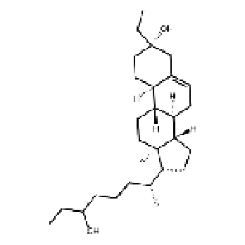 CCC(O)CCC[C@@H](C)[C@H]1CC[C@H]2[C@@H]3CC=C4C[C@](O)(CC)CC[C@@H]4[C@H]3CC[C@]12C